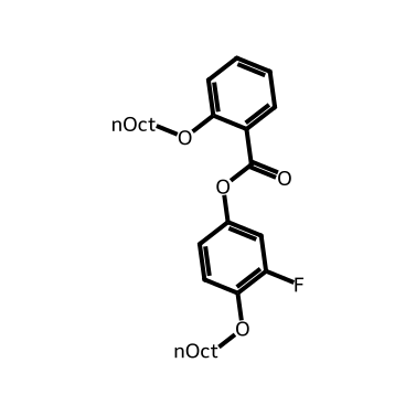 CCCCCCCCOc1ccc(OC(=O)c2ccccc2OCCCCCCCC)cc1F